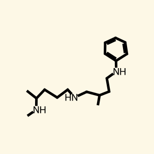 CNC(C)CCCNCC(C)CCNc1ccccc1